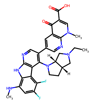 CCN1C[C@@H]2CCN(c3c(-c4cnc5c(c4)c(=O)c(C(=O)O)cn5C)cnc4[nH]c5c(NC)cc(F)c(F)c5c34)[C@@H]2C1